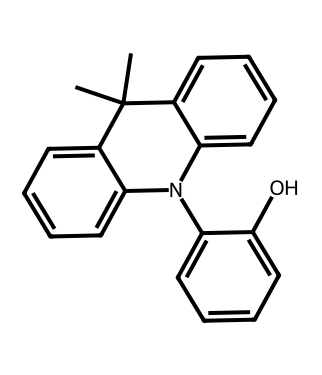 CC1(C)c2ccccc2N(c2ccccc2O)c2ccccc21